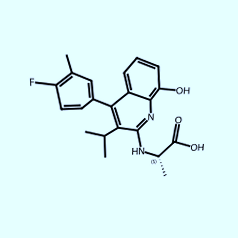 Cc1cc(-c2c(C(C)C)c(N[C@@H](C)C(=O)O)nc3c(O)cccc23)ccc1F